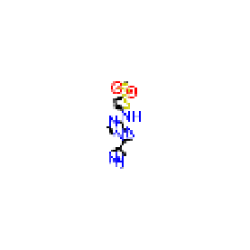 CN1CC(C2CN=C3C(Nc4ccc(S(C)(=O)=O)s4)=NC=CN32)C=N1